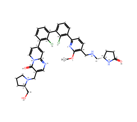 COc1nc(-c2cccc(-c3cccc(-c4ccn5c(=O)c(CN6CCC[C@@H]6CO)cnc5c4)c3Cl)c2Cl)ccc1CNC[C@@H]1CCC(=O)N1